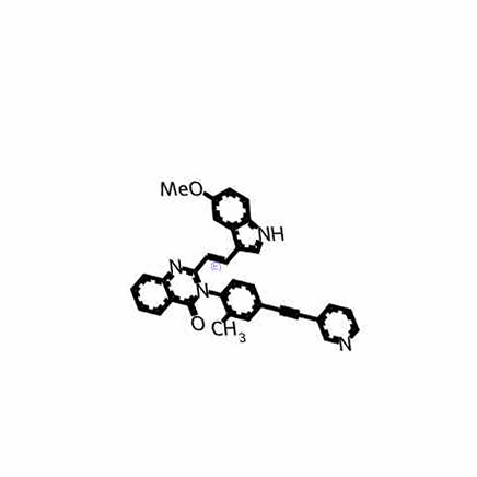 COc1ccc2[nH]cc(/C=C/c3nc4ccccc4c(=O)n3-c3ccc(C#Cc4cccnc4)cc3C)c2c1